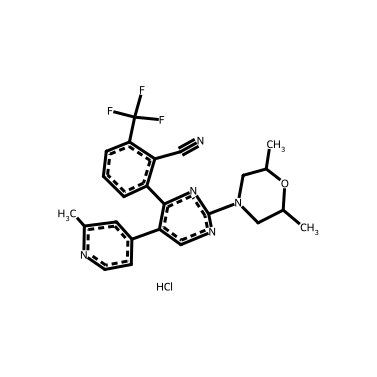 Cc1cc(-c2cnc(N3CC(C)OC(C)C3)nc2-c2cccc(C(F)(F)F)c2C#N)ccn1.Cl